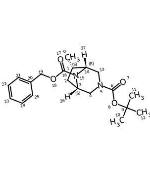 C[C@H]1C[C@H]2CN(C(=O)OC(C)(C)C)C[C@@H]1N2C(=O)OCc1ccccc1